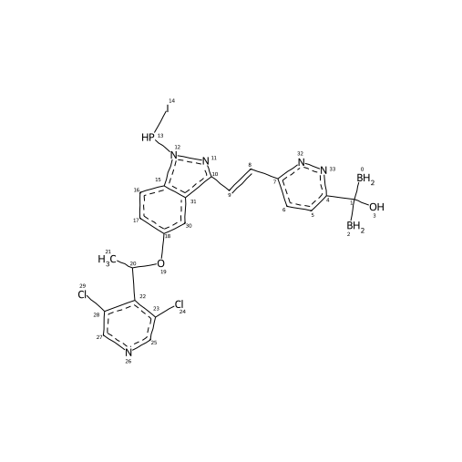 BC(B)(O)c1ccc(/C=C/c2nn(PI)c3ccc(OC(C)c4c(Cl)cncc4Cl)cc23)nn1